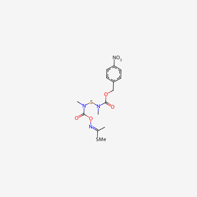 CSC(C)=NOC(=O)N(C)SN(C)C(=O)OCc1ccc([N+](=O)[O-])cc1